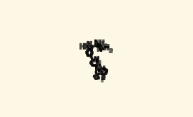 NN=C(N)c1n[nH]c2ccc(-c3ccc(NCC4(c5ncccc5F)CCC4)nn3)cc12